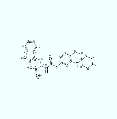 O=C(Cc1ccc2c(c1)OC1(CCCCC1)CC2)N[C@@H](Cc1coc2ccccc12)B(O)O